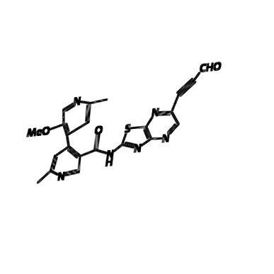 COc1cnc(C)cc1-c1cc(C)ncc1C(=O)Nc1nc2ncc(C#CC=O)nc2s1